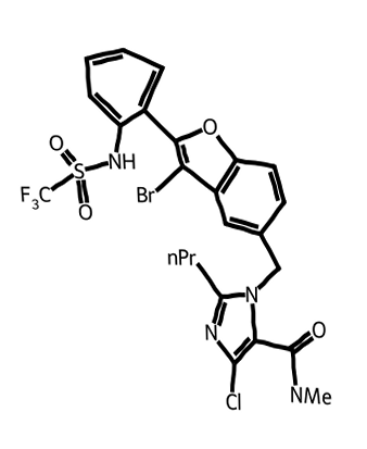 CCCc1nc(Cl)c(C(=O)NC)n1Cc1ccc2oc(-c3ccccc3NS(=O)(=O)C(F)(F)F)c(Br)c2c1